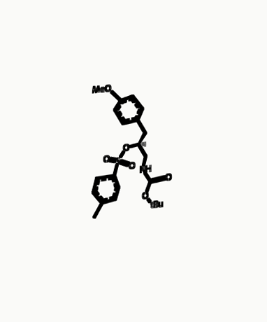 COc1ccc(C[C@@H](CNC(=O)OC(C)(C)C)OS(=O)(=O)c2ccc(C)cc2)cc1